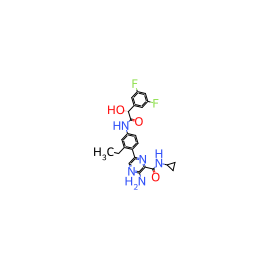 CCc1cc(NC(=O)[C@H](O)c2cc(F)cc(F)c2)ccc1-c1cnc(N)c(C(=O)NC2CC2)n1